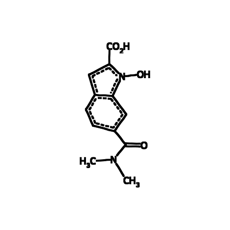 CN(C)C(=O)c1ccc2cc(C(=O)O)n(O)c2c1